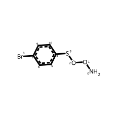 NOOSc1ccc(Br)cc1